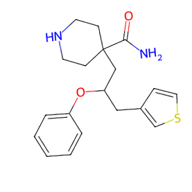 NC(=O)C1(CC(Cc2ccsc2)Oc2ccccc2)CCNCC1